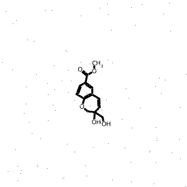 COC(=O)c1ccc2c(c1)C=CC(O)(CO)CO2